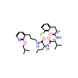 CCC[C@H](NC(=O)[C@H](NC(=O)[C@H](C)Cc1cccc(F)c1)C(C)C)C(=O)NCCCc1cccnc1OCC(C)C